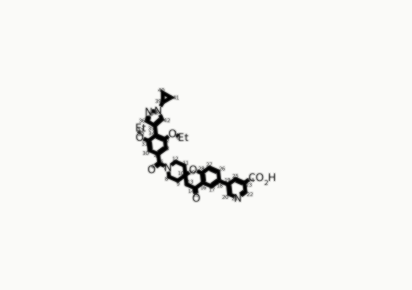 CCOc1cc(C(=O)N2CCC3(CC2)CC(=O)c2cc(-c4cncc(C(=O)O)c4)ccc2O3)cc(OCC)c1-c1cnn(C2CC2)c1